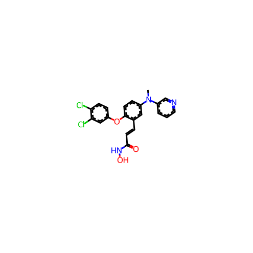 CN(c1cccnc1)c1ccc(Oc2ccc(Cl)c(Cl)c2)c(/C=C/C(=O)NO)c1